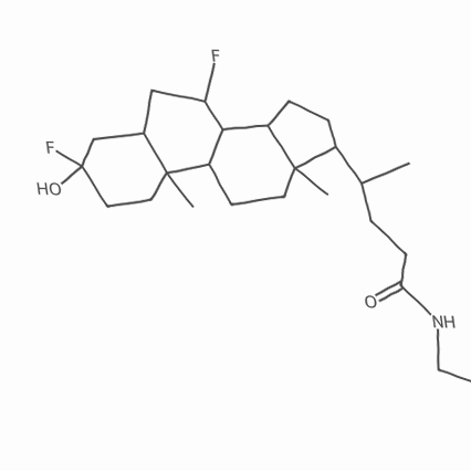 CC(CCC(=O)NCCS(=O)(=O)O)C1CCC2C3C(F)CC4CC(O)(F)CCC4(C)C3CCC12C